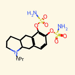 CCCN1CCCC2Cc3c(ccc(OS(N)(=O)=O)c3OS(N)(=O)=O)CC21